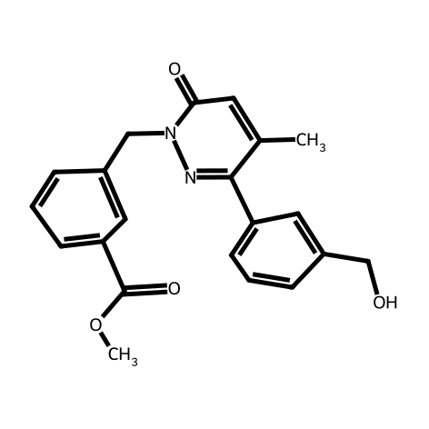 COC(=O)c1cccc(Cn2nc(-c3cccc(CO)c3)c(C)cc2=O)c1